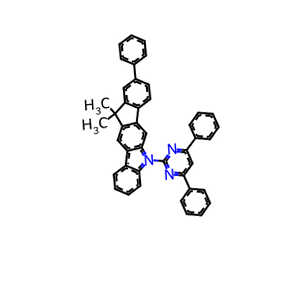 CC1(C)c2cc(-c3ccccc3)ccc2-c2cc3c(cc21)c1ccccc1n3-c1nc(-c2ccccc2)cc(-c2ccccc2)n1